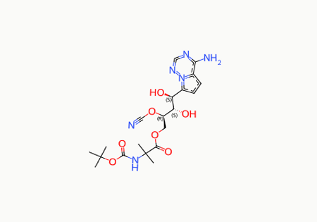 CC(C)(C)OC(=O)NC(C)(C)C(=O)OC[C@@H](OC#N)[C@@H](O)[C@@H](O)c1ccc2c(N)ncnn12